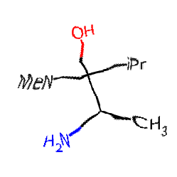 CNC(O)(C(C)C)C(C)N